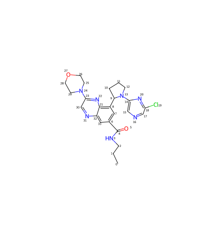 CCCNC(=O)c1cc(C2CCCN2c2cncc(Cl)n2)c2nc(N3CCOCC3)cnc2c1